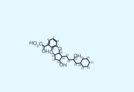 O=C(O)C(O)c1cccc2c1OC1CC(O)C(CCC(O)CC3CCCCC3)C1O2